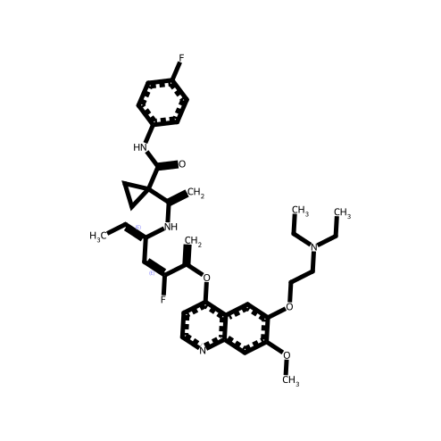 C=C(Oc1ccnc2cc(OC)c(OCCN(CC)CC)cc12)/C(F)=C\C(=C/C)NC(=C)C1(C(=O)Nc2ccc(F)cc2)CC1